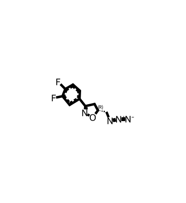 [N-]=[N+]=NC[C@H]1CC(c2ccc(F)c(F)c2)=NO1